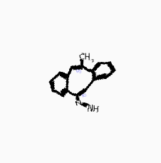 C/C1=C/c2ccccc2/C(N=N)=C\c2ccccc21